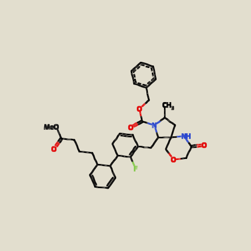 COC(=O)CCCC1C=CC=CC1C1CC=CC(CC2N(C(=O)OCc3ccccc3)C(C)CC23COCC(=O)N3)=C1F